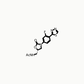 CC(=O)NC[C@H]1CN(c2ccc(-c3nncs3)c(F)c2)C(=O)O1